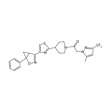 Cc1cc(C(F)(F)F)nn1CC(=O)N1CCC(c2nc(C3=NOC4(c5ccccc5)CC34)cs2)CC1